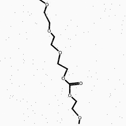 COCCOCCOCCOC(=O)OCCOC